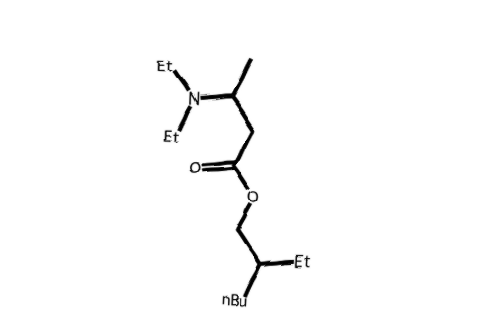 CCCCC(CC)COC(=O)CC(C)N(CC)CC